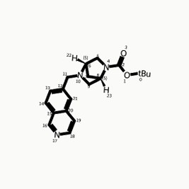 CC(C)(C)OC(=O)N1C[C@@H]2C[C@H]1CN2Cc1ccc2cnccc2c1